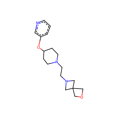 [c]1ccc(OC2CCN(CCN3CC4(COC4)C3)CC2)cn1